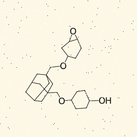 OC1CCC(OCC23CC4CC(C2)CC(COC2CCC5OC5C2)(C4)C3)CC1